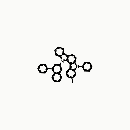 Cc1ccc2c3c(ccc4c5ccccc5n(-c5cc(-c6ccccc6)c6ccccc6c5)c43)n(-c3ccccc3)c2c1